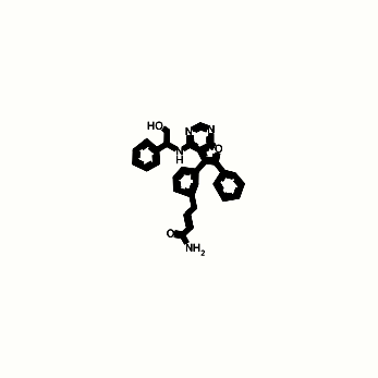 NC(=O)C=CCc1cccc(-c2c(-c3ccccc3)oc3ncnc(NC(CO)c4ccccc4)c23)c1